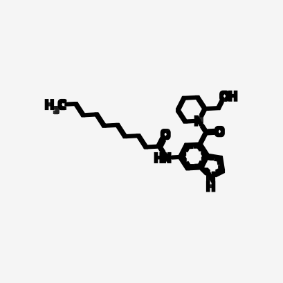 CCCCCCCCCC(=O)Nc1cc(C(=O)N2CCCCC2CO)c2cc[nH]c2c1